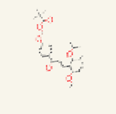 Cc1ccc(OC(C)C)c(C=CC(=O)c2ccc(OCOC(=O)C(C)(C)C)cc2)c1OC(C)C